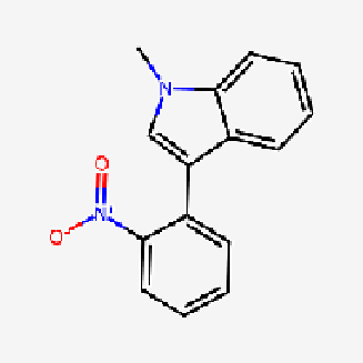 Cn1cc(-c2ccccc2[N+](=O)[O-])c2ccccc21